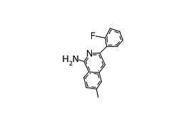 Cc1ccc2c(N)nc(-c3ccccc3F)cc2c1